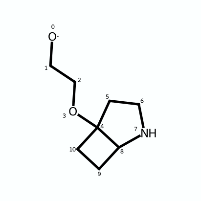 [O]CCOC12CCNC1CC2